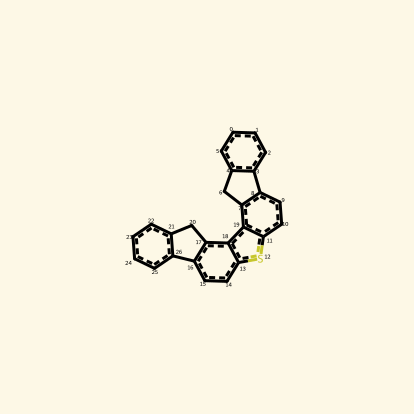 c1ccc2c(c1)Cc1c-2ccc2sc3ccc4c(c3c12)Cc1ccccc1-4